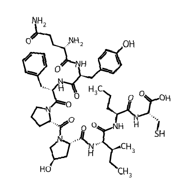 CCC[C@H](NC(=O)[C@@H](NC(=O)[C@@H]1C[C@@H](O)CN1C(=O)[C@@H]1CCCN1C(=O)[C@H](Cc1ccccc1)NC(=O)[C@H](Cc1ccc(O)cc1)NC(=O)[C@@H](N)CCC(N)=O)[C@@H](C)CC)C(=O)N[C@@H](CS)C(=O)O